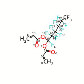 C=CC(=O)OC(F)(OC(=O)C=C)C(F)(F)C(F)(F)C(F)(F)C(F)(F)C(F)(F)F